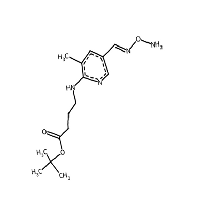 Cc1cc(C=NON)cnc1NCCCC(=O)OC(C)(C)C